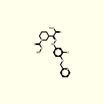 COC(=O)C(=NNc1ccc(OCc2ccccn2)c(Cl)c1)C1CCCN(C(=O)OC(C)(C)C)C1